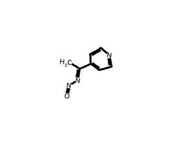 CC(=NN=O)c1ccncc1